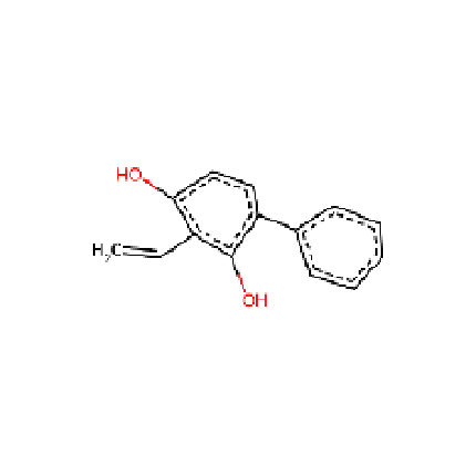 C=Cc1c(O)ccc(-c2ccccc2)c1O